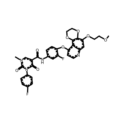 COCCOc1cc2nccc(Oc3ccc(NC(=O)c4cn(C)c(=O)n(-c5ccc(F)cc5)c4=O)cc3F)c2c2c1OCCO2